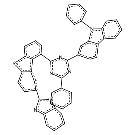 c1ccc(-c2nc(-c3ccc4c5ccccc5n(-c5ccccc5)c4c3)nc(-c3cccc4sc5ccc(-c6nc7ccccc7o6)cc5c34)n2)cc1